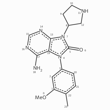 COc1cc(-n2c(=O)n(C3CCNC3)c3ncnc(N)c32)ccc1C